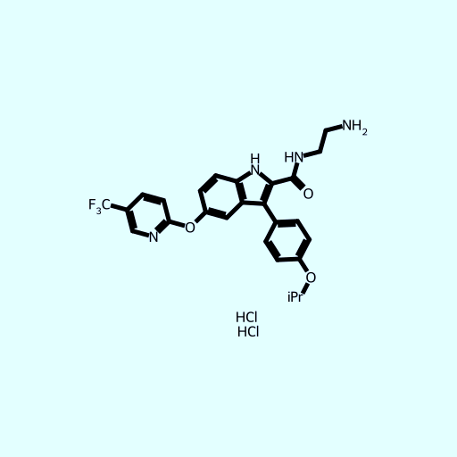 CC(C)Oc1ccc(-c2c(C(=O)NCCN)[nH]c3ccc(Oc4ccc(C(F)(F)F)cn4)cc23)cc1.Cl.Cl